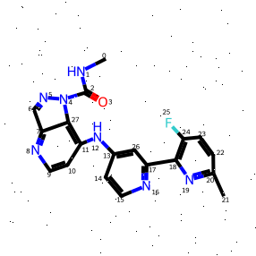 CNC(=O)n1ncc2nccc(Nc3ccnc(-c4nc(C)ccc4F)c3)c21